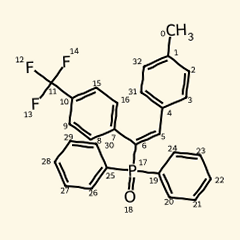 Cc1ccc(/C=C(\c2ccc(C(F)(F)F)cc2)P(=O)(c2ccccc2)c2ccccc2)cc1